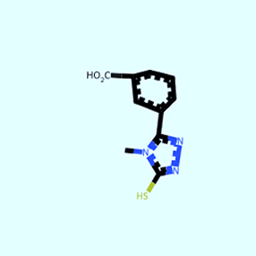 Cn1c(S)nnc1-c1cccc(C(=O)O)c1